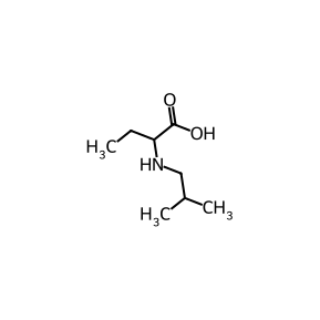 CCC(NCC(C)C)C(=O)O